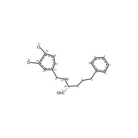 O=[C][C@@H](CCCc1ccccc1)NCc1ccc(Cl)c(Cl)c1